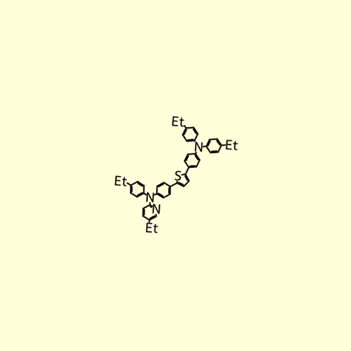 CCc1ccc(N(c2ccc(CC)cc2)c2ccc(-c3ccc(-c4ccc(N(c5ccc(CC)cc5)c5ccc(CC)cn5)cc4)s3)cc2)cc1